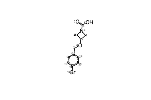 O=C(O)N1CC(OCc2ccc(Br)cc2)C1